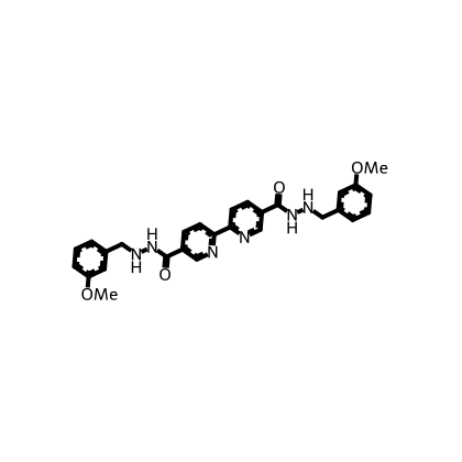 COc1cccc(CNNC(=O)c2ccc(-c3ccc(C(=O)NNCc4cccc(OC)c4)cn3)nc2)c1